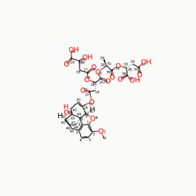 COc1ccc2c3c1O[C@@H]1C(OC(=O)C[C@H](OC(=O)C[C@H](O)C(=O)O)C(=O)O[C@@H](C)C(=O)O[C@H](CC(=O)O)C(=O)O)=CC[C@]4(O)[C@@H](CCC[C@@]314)C2